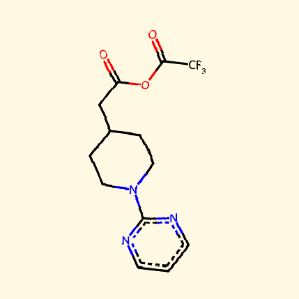 O=C(CC1CCN(c2ncccn2)CC1)OC(=O)C(F)(F)F